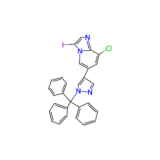 Clc1cc(-c2cnn(C(c3ccccc3)(c3ccccc3)c3ccccc3)c2)cn2c(I)cnc12